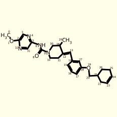 COc1cnc(NC(=O)N2CCC(=Cc3cccc(OCC4CC=CCC4)c3)C(C)C2)cn1